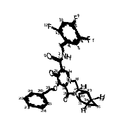 O=C(NCc1cc(F)c(F)cc1F)c1cn2c(c(OCc3ccccc3)c1=O)C(=O)N1C3CC([C@@H]4C[C@H]34)[C@@H]1C2